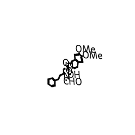 COc1cc2c(cc1OC)CN(S(=O)(=O)CC(CCc1ccccc1)N(O)C=O)CC2